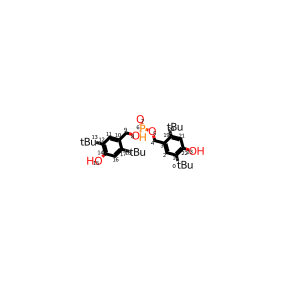 CC(C)(C)c1cc(CO[PH](=O)OCc2cc(C(C)(C)C)c(O)cc2C(C)(C)C)c(C(C)(C)C)cc1O